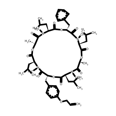 C=CCOc1ccc(C[C@H]2OC(=O)[C@H](CC(C)C)N(C)C(=O)[C@@H](C)OC(=O)[C@H](CC(C)C)N(C)C(=O)[C@@H](Cc3ccccc3)OC(=O)[C@H](CC(C)C)N(C)C(=O)[C@@H](C)OC(=O)[C@H](CC(C)C)N(C)C2=O)cc1